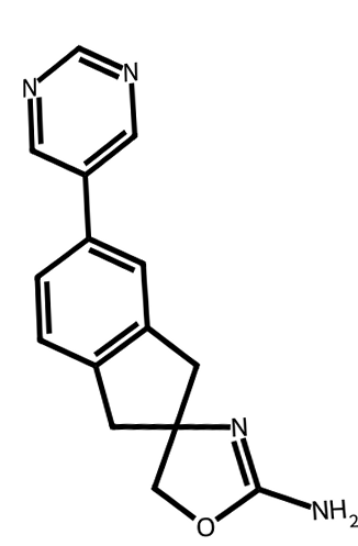 NC1=NC2(CO1)Cc1ccc(-c3cncnc3)cc1C2